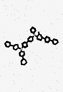 CC1C=C(c2ccc(C3=CCCC=C3)cc2)C=CC1N(c1ccccc1)C1C=CC(c2ccc(N(C3C=CC(C4=CCCCC4)=CC3)C3CC=C(C4C=CC=CC4)CC3)cc2)=CC1